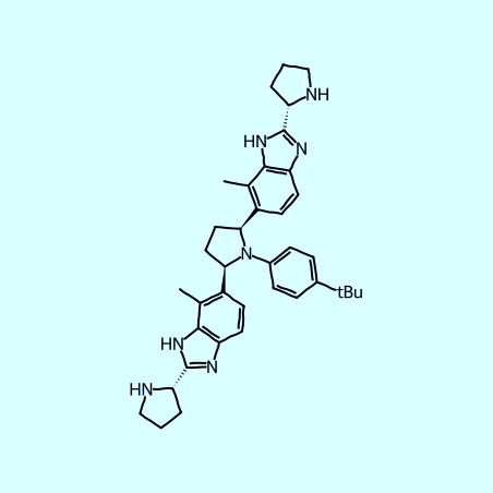 Cc1c([C@H]2CC[C@@H](c3ccc4nc([C@@H]5CCCN5)[nH]c4c3C)N2c2ccc(C(C)(C)C)cc2)ccc2nc([C@@H]3CCCN3)[nH]c12